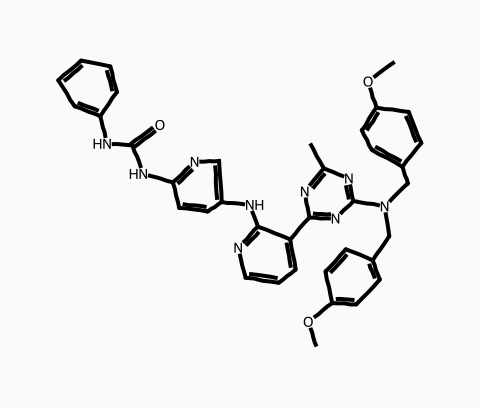 COc1ccc(CN(Cc2ccc(OC)cc2)c2nc(C)nc(-c3cccnc3Nc3ccc(NC(=O)Nc4ccccc4)nc3)n2)cc1